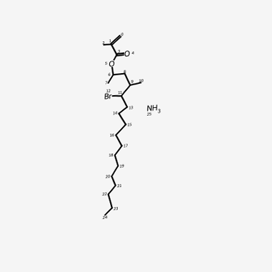 C=C(C)C(=O)OC(C)CC(C)C(Br)CCCCCCCCCCCC.N